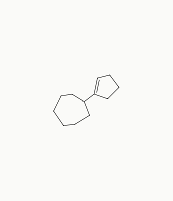 C1=C([C]2CCCCCC2)CCC1